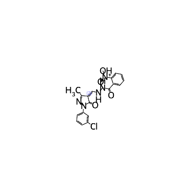 CC1=NN(c2cccc(Cl)c2)C(=O)/C1=C\NNC(=O)c1ccccc1[N+](=O)O